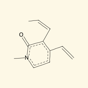 C=Cc1ccn(C)c(=O)c1/C=C\C